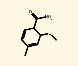 COC1C=C(C)C=CC1C(N)=O